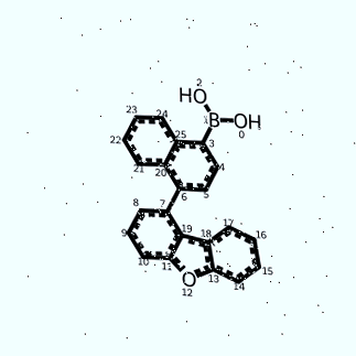 OB(O)c1ccc(-c2cccc3oc4ccccc4c23)c2ccccc12